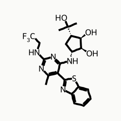 Cc1nc(NCC(F)(F)F)nc(N[C@@H]2C[C@H](C(C)(C)O)[C@@H](O)[C@H]2O)c1-c1nc2ccccc2s1